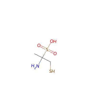 CC(N)(CS)S(=O)(=O)O